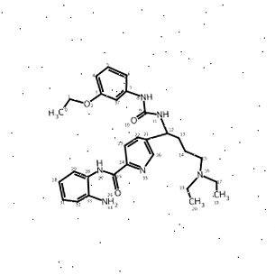 CCOc1cccc(NC(=O)NC(CCCN(CC)CC)c2ccc(C(=O)Nc3ccccc3N)nc2)c1